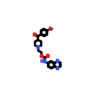 O=C(Nc1ccc2nccnc2c1)OCCN1CCC(C(=O)c2ccc(Br)cc2)CC1